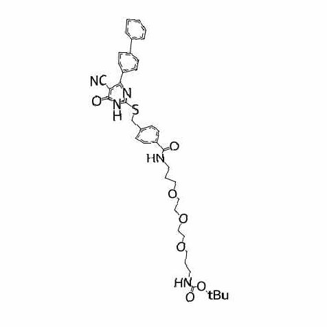 CC(C)(C)OC(=O)NCCCOCCOCCOCCCNC(=O)c1ccc(CSc2nc(-c3ccc(-c4ccccc4)cc3)c(C#N)c(=O)[nH]2)cc1